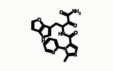 Cc1ncc(C(=O)NC(Cc2c[nH]c3ccoc23)C(=O)C(N)=O)n1-c1ccccn1